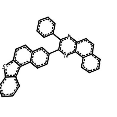 c1ccc(-c2nc3ccc4ccccc4c3nc2-c2ccc3c(ccc4sc5ccccc5c43)c2)cc1